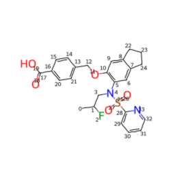 CC(F)CN(c1cc2c(cc1OCc1ccc(C(=O)O)cc1)CCC2)S(=O)(=O)c1ccccn1